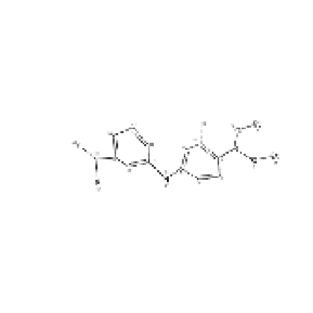 CCOC(OCC)c1ccc(Nc2cccc(C(F)F)c2)cc1C